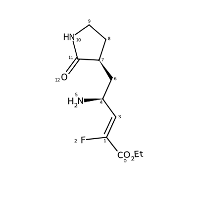 CCOC(=O)/C(F)=C/[C@@H](N)C[C@@H]1CCNC1=O